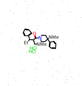 CCC(c1ccccc1)C(CNC)C(=O)N1CCC(NC)(c2ccccc2)CC1.Cl.Cl